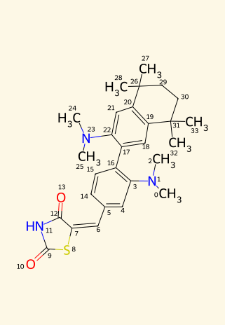 CN(C)c1cc(C=C2SC(=O)NC2=O)ccc1-c1cc2c(cc1N(C)C)C(C)(C)CCC2(C)C